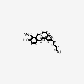 COc1c(O)ccc2c1CN1CCc3sc(CCCCCl)cc3[C@@H]1C2